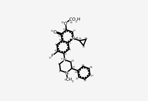 CN1CCN(c2cc3c(cc2F)c(=O)c(OC(=O)O)cn3C2CC2)CC1c1ccccc1